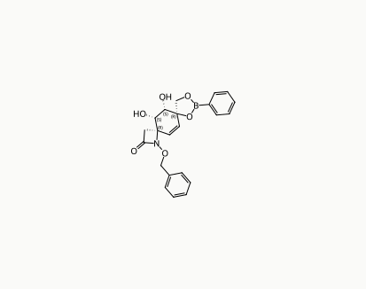 O=C1C[C@]2(C=C[C@@]3(COB(c4ccccc4)O3)[C@@H](O)[C@H]2O)N1OCc1ccccc1